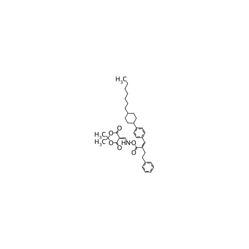 CCCCCCCC1CCC(c2ccc(C=C(CCc3ccccc3)C(=O)ONC=C3C(=O)OC(C)(C)OC3=O)cc2)CC1